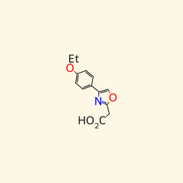 CCOc1ccc(-c2coc(CC(=O)O)n2)cc1